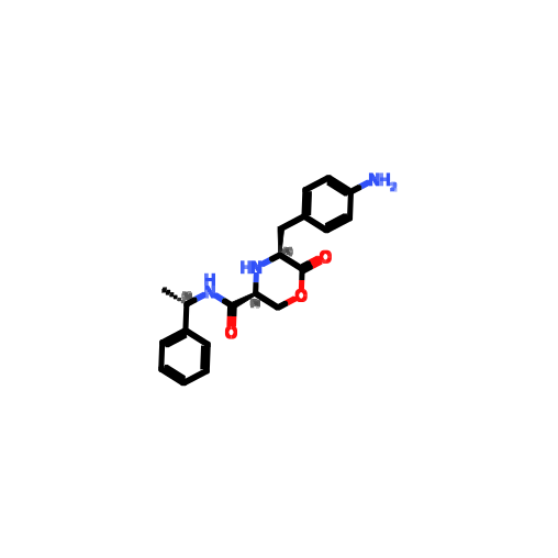 C[C@H](NC(=O)[C@@H]1COC(=O)[C@H](Cc2ccc(N)cc2)N1)c1ccccc1